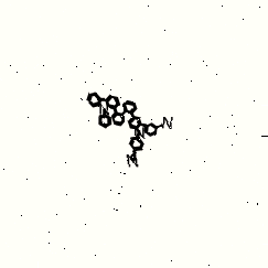 N#Cc1ccc(-n2c3ccc(C#N)cc3c3cc(-c4ccccc4-c4ccccc4-c4cccc5c6ccccc6n(-c6ccccc6)c45)ccc32)cc1